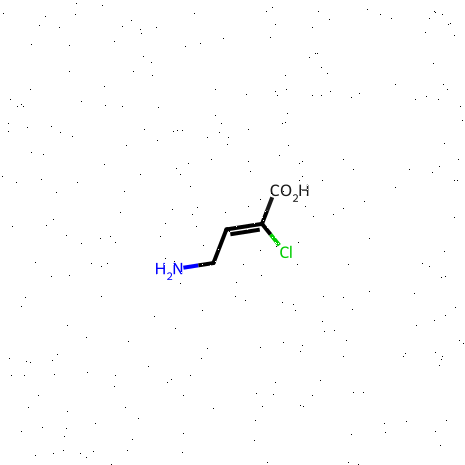 NCC=C(Cl)C(=O)O